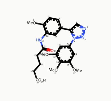 COc1ccc(-c2cnnn2-c2cc(OC)c(OC)c(OC)c2)cc1NC(=O)CCCC(=O)O